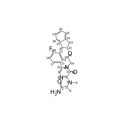 CC(C(N)=O)N(C)c1ncc(-c2ccc(F)cc2)n(CCOC2Cc3ccccc3C2)c1=O